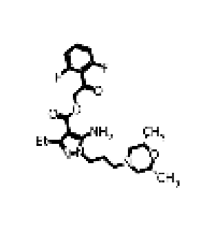 CCc1nn(CCCN2C[C@@H](C)O[C@@H](C)C2)c(N)c1C(=O)OCC(=O)c1c(F)cccc1F